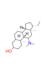 CC[C@H]1CC[C@H]2[C@@H]3CCC4CC(O)CC[C@]4(C)[C@H]3C(N(C)C)C[C@]12C